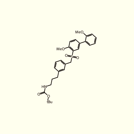 COc1ccccc1-c1ccc(OC)c(S(=O)(=O)Cc2cccc(CCCNC(=O)OC(C)(C)C)c2)c1